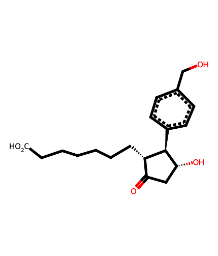 O=C(O)CCCCCC[C@H]1C(=O)C[C@@H](O)[C@@H]1c1ccc(CO)cc1